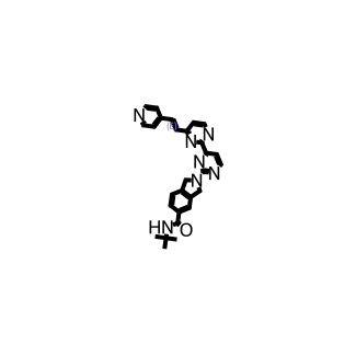 CC(C)(C)NC(=O)c1ccc2c(c1)CN(c1nccc(-c3nccc(/C=C/c4ccncc4)n3)n1)C2